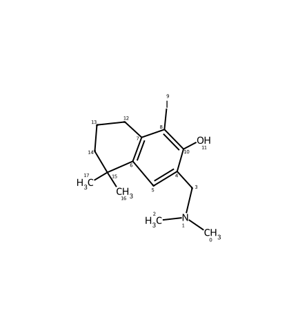 CN(C)Cc1cc2c(c(I)c1O)CCCC2(C)C